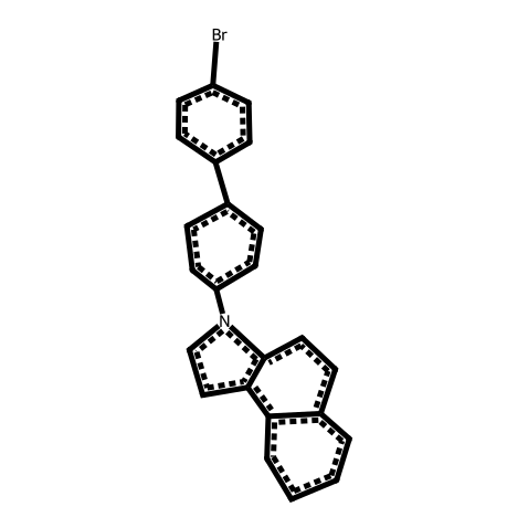 Brc1ccc(-c2ccc(-n3ccc4c5ccccc5ccc43)cc2)cc1